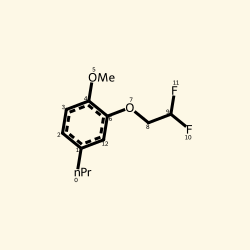 CCCc1ccc(OC)c(OCC(F)F)c1